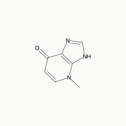 Cn1ccc(=O)c2nc[nH]c21